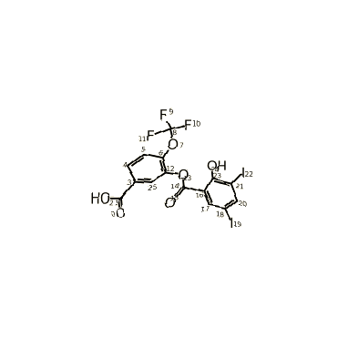 O=C(O)c1ccc(OC(F)(F)F)c(OC(=O)c2cc(I)cc(I)c2O)c1